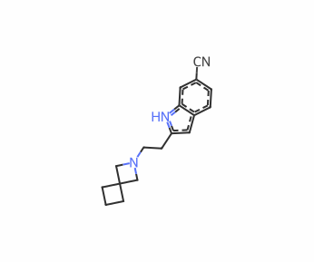 N#Cc1ccc2cc(CCN3CC4(CCC4)C3)[nH]c2c1